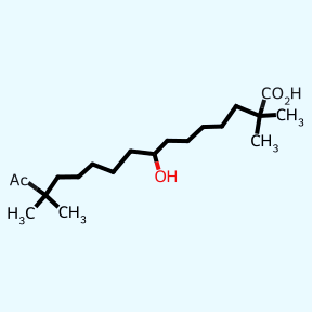 CC(=O)C(C)(C)CCCCCC(O)CCCCCC(C)(C)C(=O)O